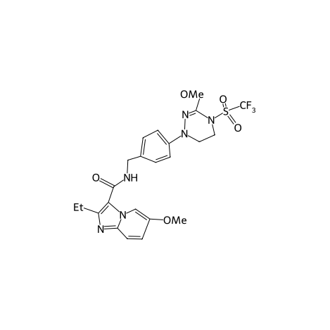 CCc1nc2ccc(OC)cn2c1C(=O)NCc1ccc(N2CCN(S(=O)(=O)C(F)(F)F)C(OC)=N2)cc1